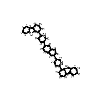 c1ccc2c(c1)oc1c(-c3ccc(-c4ccc5cc(-c6ccc(-c7cccc8c7sc7ccccc78)nc6)ccc5c4)cn3)cccc12